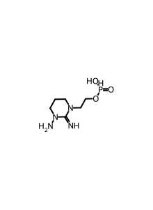 N=C1N(N)CCCN1CCO[PH](=O)O